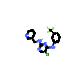 FC(F)(F)c1cccc(Nc2nc(NCc3cccnc3)ncc2Cl)c1